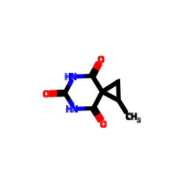 CC1CC12C(=O)NC(=O)NC2=O